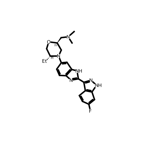 CC[C@@H]1CO[C@@H](CN(C)C)CN1c1ccc2nc(-c3n[nH]c4cc(F)ccc34)[nH]c2c1